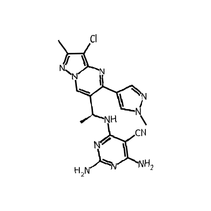 Cc1nn2cc([C@H](C)Nc3nc(N)nc(N)c3C#N)c(-c3cnn(C)c3)nc2c1Cl